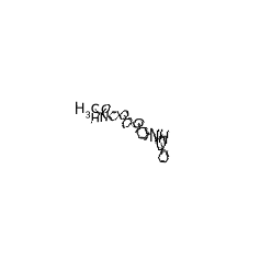 CCC(=O)Nc1ccc(Oc2cccc(Oc3cccc(NCOc4ccccc4)c3)c2)cc1